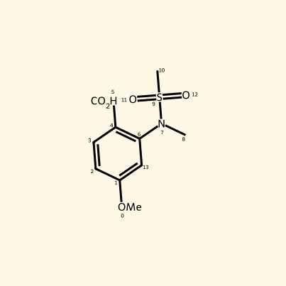 COc1ccc(C(=O)O)c(N(C)S(C)(=O)=O)c1